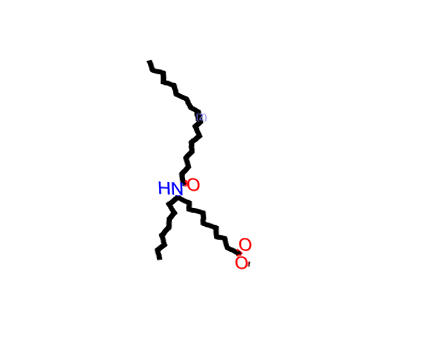 CCCCCCCC/C=C\CCCCCCCC(=O)NC(CCCCCCCC)CCCCCCCCC(=O)OC